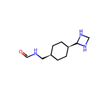 O=CNC[C@H]1CC[C@@H](C2NCN2)CC1